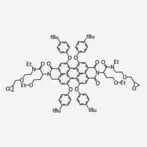 CCOCCC(C(=O)N(CC)CCOCC1CO1)N1Cc2cc(Oc3ccc(C(C)(C)C)cc3)c3c4c(Oc5ccc(C(C)(C)C)cc5)cc5c6c(cc(Oc7ccc(C(C)(C)C)cc7)c(c7c(Oc8ccc(C(C)(C)C)cc8)cc(c2c37)C1=O)c64)C(=O)N(C(CCOCC)C(=O)N(CC)CCOCC1CO1)C5=O